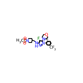 CS(=O)(=O)N1CCC(CNc2ncnc(N3CCOC[C@@H]3c3ccc(C(F)(F)F)cc3)c2F)CC1